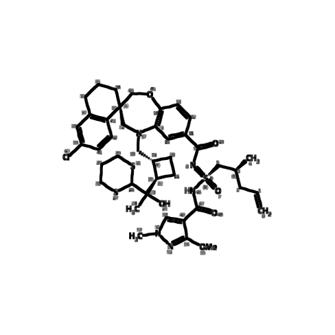 C=CC[C@H](C)C[S@](=O)(=NC(=O)c1ccc2c(c1)N(C[C@@H]1CC[C@H]1C(C)(O)C1SCCCS1)C[C@@]1(CCCc3cc(Cl)ccc31)CO2)NC(=O)c1cn(C)nc1OC